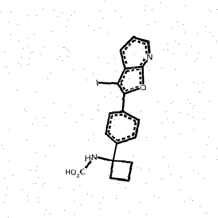 O=C(O)NC1(c2ccc(-c3oc4ncccc4c3I)cc2)CCC1